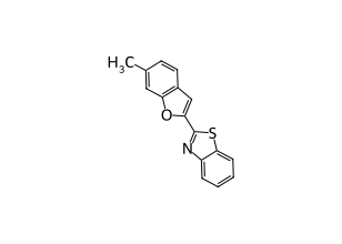 Cc1ccc2cc(-c3nc4ccccc4s3)oc2c1